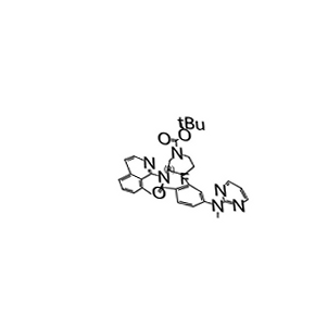 Cc1cccc2ccnc(N(C(=O)c3ccc(N(C)c4ncccn4)cc3F)[C@@H]3CCCN(C(=O)OC(C)(C)C)C3)c12